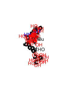 CC[C@H](C)[C@H](C[C@H](O)CC(=O)N[C@H]1C(CO)O[C@@H](OC(=O)[C@]23CCC(C)(C)CC2C2=CCC4C5(C)CC[C@H](O[C@@H]6OC[C@@H](C)[C@H](O[C@@H]7OC[C@@H](O)[C@H](O)C7O)C6O[C@@H]6OC(CO)[C@H](O)[C@H](O)C6O)[C@](C)(C=O)[C@@H]5CC[C@]4(C)[C@]2(C)CC3O)C(O[C@@H]2OC(C)[C@H](O[C@@H]3OC[C@@H](OCc4ccccc4)C(O[C@@H]4OCC(O)(CO)[C@@H]4O)C3O)C(O)C2O)C1O)NC(=O)C[C@@H](O)C[C@H](O[C@@H]1O[C@H](CO)C(O)C1O)[C@@H](C)CC